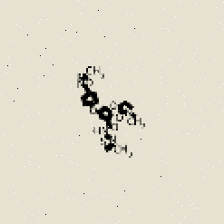 CCN1CC[C@@H](Oc2cc(Oc3ccc(-c4nnc(C)o4)cc3)cc(C(=O)Nc3nc(C)cs3)c2)C1=O